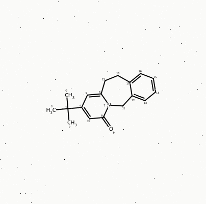 CC(C)(C)c1cc2n(c(=O)c1)Cc1ccccc1CC2